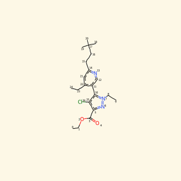 CCOC(=O)c1nn(CC)c(-c2cnc(CCC(C)(C)C)cc2CC)c1Cl